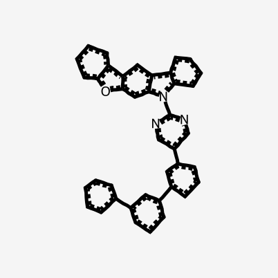 c1ccc(-c2cccc(-c3cccc(-c4cnc(-n5c6ccccc6c6cc7c(cc65)oc5ccccc57)nc4)c3)c2)cc1